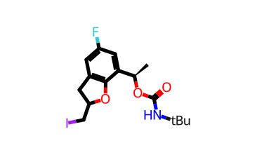 C[C@@H](OC(=O)NC(C)(C)C)c1cc(F)cc2c1OC(CI)C2